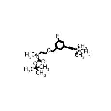 CN(CCOCc1cc(F)cc(C#C[Si](C)(C)C)c1)C(=O)OC(C)(C)C